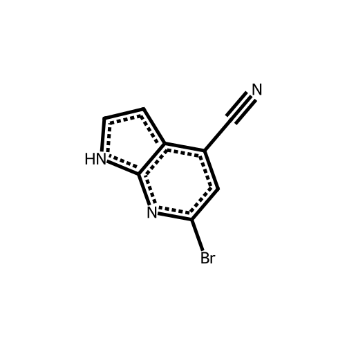 N#Cc1cc(Br)nc2[nH]ccc12